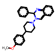 COc1ccc(C2CCN(N3C=c4ccccc4=NC3c3ccccc3)CC2)cc1